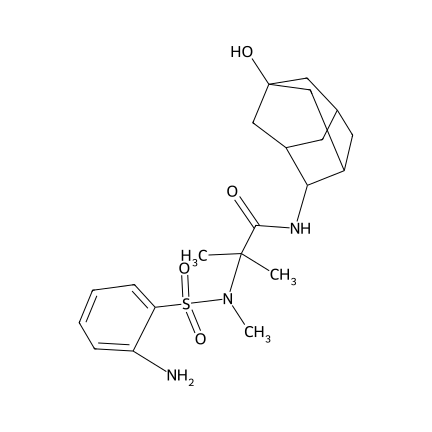 CN(C(C)(C)C(=O)NC1C2CC3CC1CC(O)(C3)C2)S(=O)(=O)c1ccccc1N